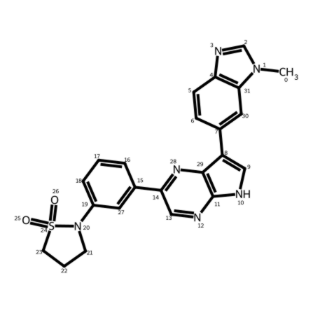 Cn1cnc2ccc(-c3c[nH]c4ncc(-c5cccc(N6CCCS6(=O)=O)c5)nc34)cc21